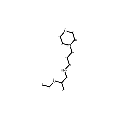 CCOC(C)CNCCCN1CCOCC1